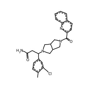 Cc1ccc(C(CC(N)=O)N2CC3CN(C(=O)c4ccc5ccccc5n4)CC3C2)cc1Cl